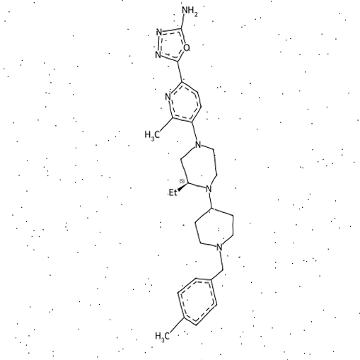 CC[C@H]1CN(c2ccc(-c3nnc(N)o3)nc2C)CCN1C1CCN(Cc2ccc(C)cc2)CC1